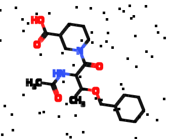 CC(=O)NC(C(=O)N1CCCC(C(=O)O)C1)C(C)OCC1CCCCC1